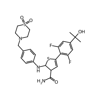 CC(C)(O)c1cc(F)c(C2=CC(C(N)=O)C(Nc3ccc(CN4CCS(=O)(=O)CC4)cc3)S2)c(F)c1